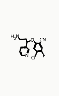 N#Cc1cc(F)c(Cl)cc1OC(CCN)c1cccnc1